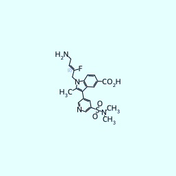 Cc1c(-c2cncc(S(=O)(=O)N(C)C)c2)c2cc(C(=O)O)ccc2n1C/C(F)=C/CN